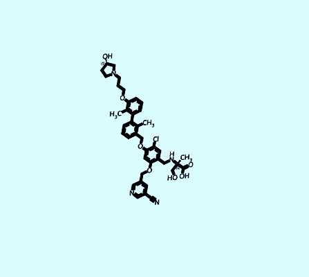 Cc1c(COc2cc(OCc3cncc(C#N)c3)c(CN[C@@](C)(CO)C(=O)O)cc2Cl)cccc1-c1cccc(OCCCN2CC[C@H](O)C2)c1C